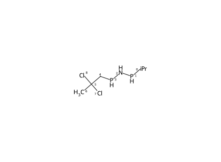 CC(C)PNPCC(C)(Cl)Cl